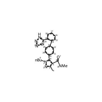 CCCCn1nc(C)c(C(=O)NC)c1-c1ccc(-c2ccccc2-c2nnn[nH]2)cc1